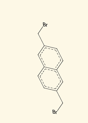 BrCc1ccc2cc(CBr)ccc2c1